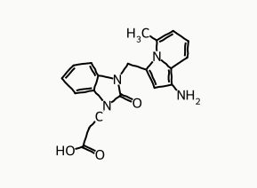 Cc1cccc2c(N)cc(Cn3c(=O)n(CCC(=O)O)c4ccccc43)n12